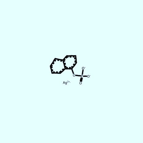 O=P([O-])([O-])Oc1cccc2ccccc12.[Ag+2]